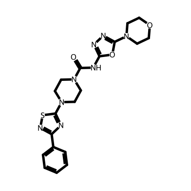 O=C(Nc1nnc(N2CCOCC2)o1)N1CCN(c2nc(-c3ccccc3)ns2)CC1